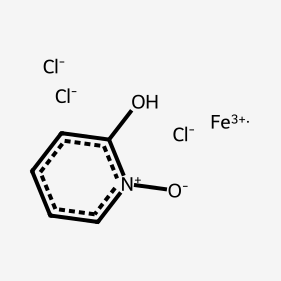 [Cl-].[Cl-].[Cl-].[Fe+3].[O-][n+]1ccccc1O